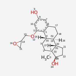 C[C@]12CC[C@@H]3c4c(cc(O)cc4OCC4CO4)CC[C@H]3[C@@H]1CC[C@H]2O